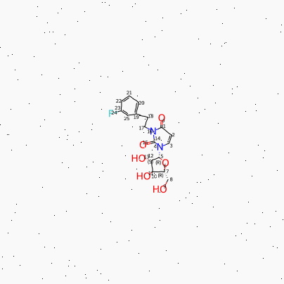 O=c1ccn([C@@H]2O[C@H](CO)C(O)[C@@H]2O)c(=O)n1CCc1cccc(F)c1